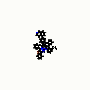 Cc1cccc2c1c1c3ccccc3c3c4cc(-c5cccc6cnccc56)ccc4sc3c1n2C1=Nc2c(sc3ccccc23)C(c2ccccc2)N1C